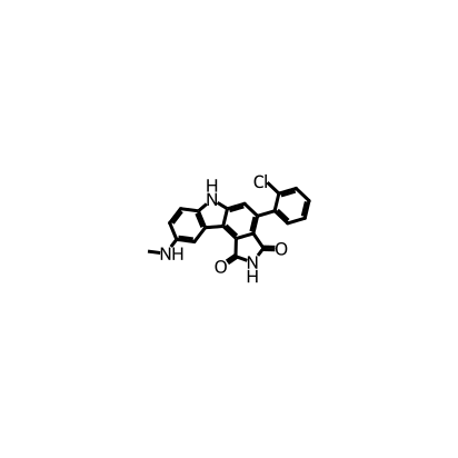 CNc1ccc2[nH]c3cc(-c4ccccc4Cl)c4c(c3c2c1)C(=O)NC4=O